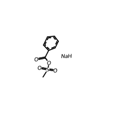 CS(=O)(=O)OC(=O)c1ccccc1.[NaH]